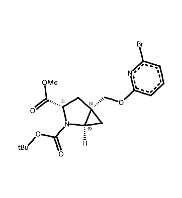 COC(=O)[C@@H]1C[C@@]2(COc3cccc(Br)n3)C[C@H]2N1C(=O)OC(C)(C)C